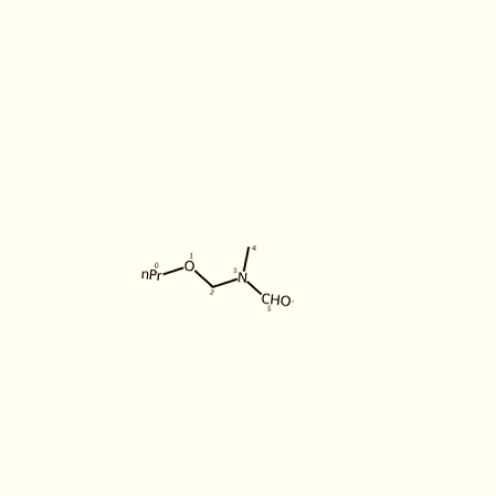 CCCOCN(C)[C]=O